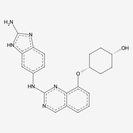 Nc1nc2ccc(Nc3ncc4cccc(O[C@H]5CC[C@@H](O)CC5)c4n3)cc2[nH]1